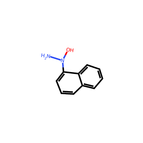 NN(O)c1cccc2ccccc12